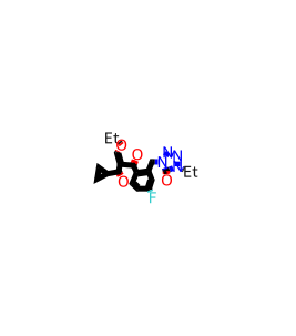 CCO/C=C(\C(=O)c1ccc(F)cc1Cn1nnn(CC)c1=O)C(=O)C1CC1